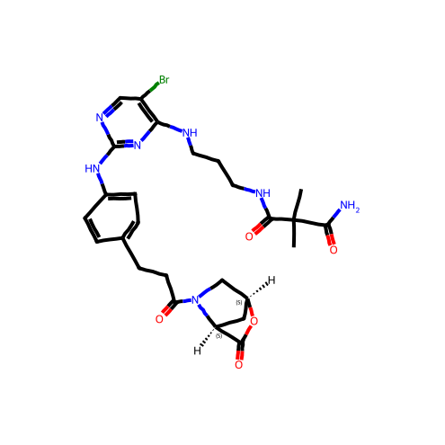 CC(C)(C(N)=O)C(=O)NCCCNc1nc(Nc2ccc(CCC(=O)N3C[C@@H]4C[C@H]3C(=O)O4)cc2)ncc1Br